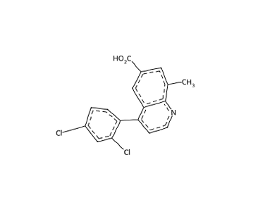 Cc1cc(C(=O)O)cc2c(-c3ccc(Cl)cc3Cl)ccnc12